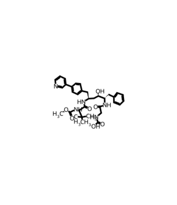 COC(=O)N[C@H](C(=O)N[C@@H](Cc1ccc(-c2cccnc2)cc1)C[C@H](O)[C@H](Cc1ccccc1)NC(=O)CNC(=O)O)C(C)(C)C